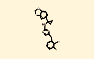 Fc1cccc(Cc2cnc(NC3(c4ccc5c(c4)OCO5)CC3)s2)c1Cl